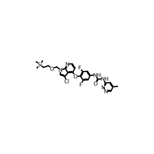 Cc1cnnc(NC(=O)Nc2cc(F)c(Oc3ccnc4c3c(Cl)cn4COCC[Si](C)(C)C)c(F)c2)c1